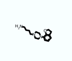 NCCCCN1CCN(c2cccc3c2OCC3)CC1